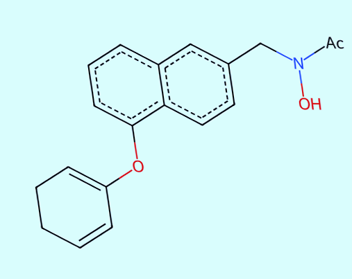 CC(=O)N(O)Cc1ccc2c(OC3=CCCC=C3)cccc2c1